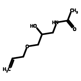 C=CCOCC(O)CNC(C)=O